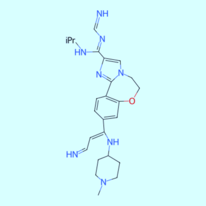 CC(C)N/C(=N\C=N)c1cn2c(n1)-c1ccc(/C(=C/C=N)NC3CCN(C)CC3)cc1OCC2